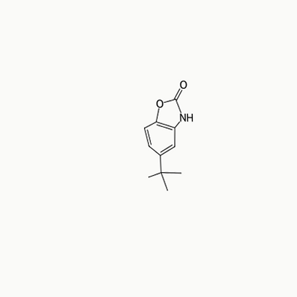 CC(C)(C)c1ccc2oc(=O)[nH]c2c1